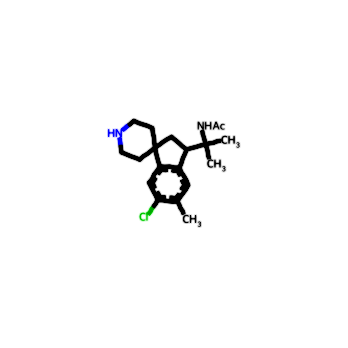 CC(=O)NC(C)(C)C1CC2(CCNCC2)c2cc(Cl)c(C)cc21